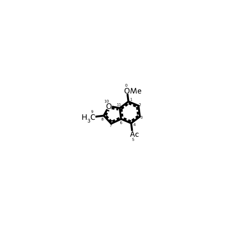 COc1ccc(C(C)=O)c2cc(C)oc12